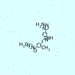 Cc1cc(C(=O)N2CCN(C)CC2)ccc1/C=C/c1n[nH]c2cc(-c3ccnc(N)n3)ccc12